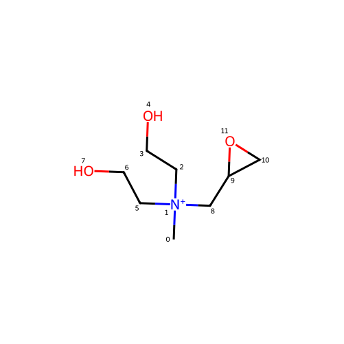 C[N+](CCO)(CCO)CC1CO1